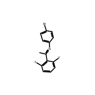 C/C(=N\c1ccc(Br)cc1)c1c(F)cccc1F